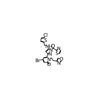 O=C(c1nccs1)n1nc(-c2cc(Br)cc(=O)n2CCc2cocn2)cc1NCc1ccc(Cl)s1